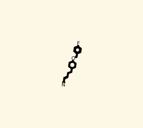 N#CC=CCCC1CCC(OCc2ccc(F)cc2)CC1